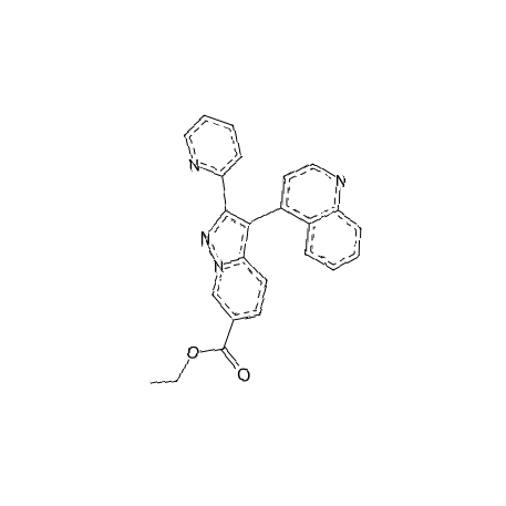 CCOC(=O)c1ccc2c(-c3ccnc4ccccc34)c(-c3ccccn3)nn2c1